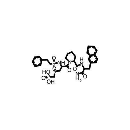 NC(=O)C(Cc1ccc2ccccc2c1)NC(=O)C1CCCCN1C(=O)C(CSCP(=O)(O)O)NS(=O)(=O)CCc1ccccc1